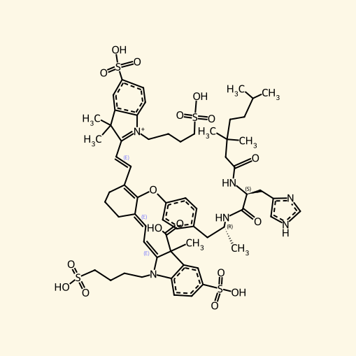 CC(C)CCC(C)(C)CC(=O)N[C@@H](Cc1c[nH]cn1)C(=O)N[C@H](C)Cc1ccc(OC2=C(/C=C/C3=[N+](CCCCS(=O)(=O)O)c4ccc(S(=O)(=O)O)cc4C3(C)C)CCC/C2=C\C=C2\N(CCCCS(=O)(=O)O)c3ccc(S(=O)(=O)O)cc3C2(C)C(=O)O)cc1